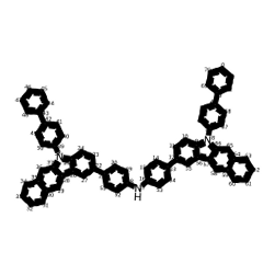 c1ccc(-c2ccc(-n3c4ccc(-c5ccc(Nc6ccc(-c7ccc8c(c7)c7cc9ccccc9cc7n8-c7ccc(-c8ccccc8)cc7)cc6)cc5)cc4c4cc5ccccc5cc43)cc2)cc1